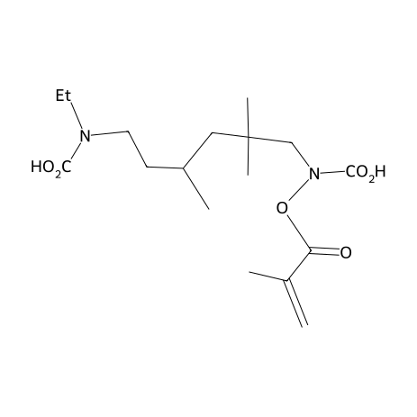 C=C(C)C(=O)ON(CC(C)(C)CC(C)CCN(CC)C(=O)O)C(=O)O